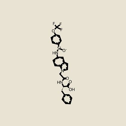 O=C(Cn1ccc2cc(N[S+]([O-])c3ccc(OC(F)(F)F)cc3)ccc21)N[C@@H](Cc1ccccc1)C(=O)O